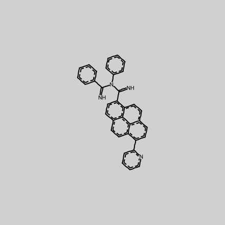 N=C(c1ccccc1)N(C(=N)c1ccc2ccc3c(-c4ccccn4)ccc4ccc1c2c43)c1ccccc1